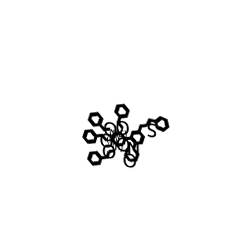 c1ccc(COC[C@H]2OC(c3cc(Cc4cc5ccccc5s4)ccc3N3CCOCC3)[C@H](OCc3ccccc3)[C@@H](OCc3ccccc3)[C@@H]2OCc2ccccc2)cc1